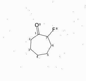 O=C1CCCCCC1F